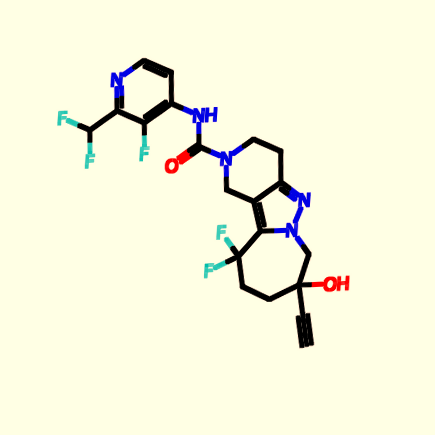 C#CC1(O)CCC(F)(F)c2c3c(nn2C1)CCN(C(=O)Nc1ccnc(C(F)F)c1F)C3